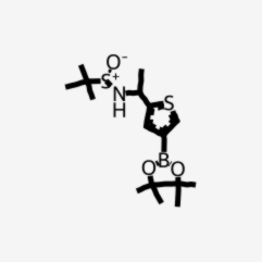 CC(N[S@@+]([O-])C(C)(C)C)c1cc(B2OC(C)(C)C(C)(C)O2)cs1